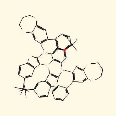 CC(C)(C)c1cc2c3c(c1)N(c1cc4c(cc1-c1ccccc1)OCCCO4)c1sc4ccc(C(C)(C)C)cc4c1B3c1c(sc3ccc(C(C)(C)C)cc13)N2c1cc2c(cc1-c1ccccc1)OCCCO2